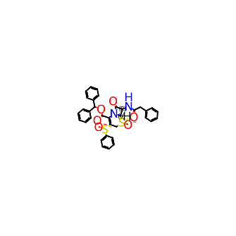 O=C(Cc1ccccc1)N[C@@H]1C(=O)N2C(C(=O)OC(c3ccccc3)c3ccccc3)=C([S+]([O-])c3ccccc3)C[S+]([O-])[C@@H]12